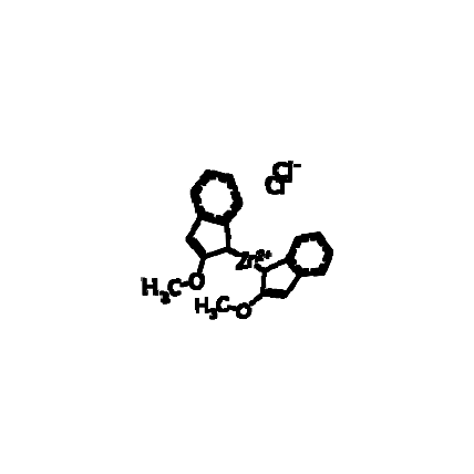 COC1=Cc2ccccc2[CH]1[Zr+2][CH]1C(OC)=Cc2ccccc21.[Cl-].[Cl-]